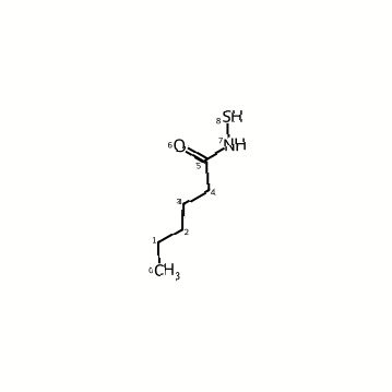 CCCCCC(=O)NS